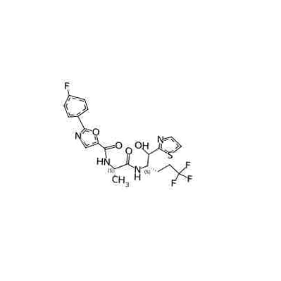 C[C@H](NC(=O)c1cnc(-c2ccc(F)cc2)o1)C(=O)N[C@@H](CCC(F)(F)F)C(O)c1nccs1